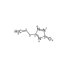 C=CCC1=[N+]C(=O)N=N1